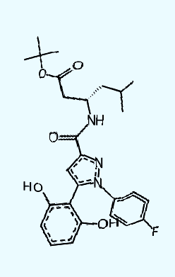 CC(C)C[C@@H](CC(=O)OC(C)(C)C)NC(=O)c1cc(-c2c(O)cccc2O)n(C2=C=C=C(F)C=C2)n1